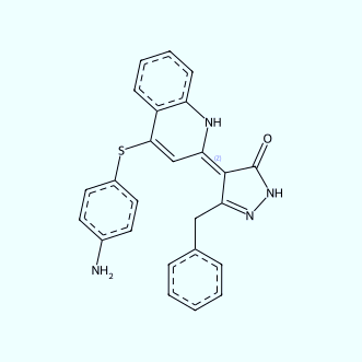 Nc1ccc(SC2=C/C(=C3/C(=O)NN=C3Cc3ccccc3)Nc3ccccc32)cc1